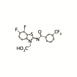 O=C(O)Cn1/c(=N/C(=O)c2cccc(C(F)(F)F)c2)sc2c(F)c(F)ccc21